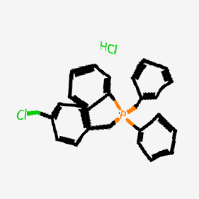 Cl.Clc1ccc(C[P](c2ccccc2)(c2ccccc2)c2ccccc2)cc1